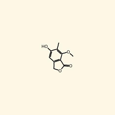 COc1c(C)c(O)cc2c1C(=O)OC2